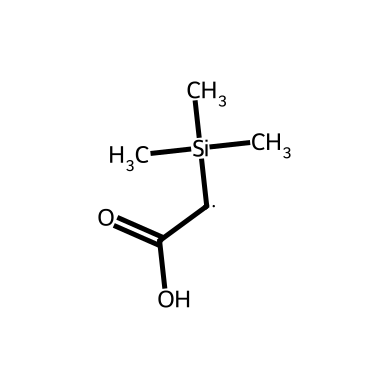 C[Si](C)(C)[CH]C(=O)O